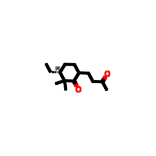 CC[C@@H]1CCC(CCC(C)=O)C(=O)C1(C)C